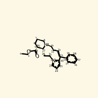 CCOC(=O)[C@@H]1CCCN(CCC=C(c2ccccc2)c2cccn2CC)C1